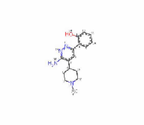 CC(=O)N1CCC(c2cc(-c3ccccc3O)nnc2N)CC1